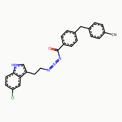 N#Cc1ccc(Cc2ccc(C(=O)N=[N+]=NCCc3c[nH]c4ccc(Cl)cc34)cc2)cc1